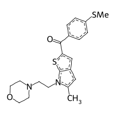 CSc1ccc(C(=O)c2cc3cc(C)n(CCN4CCOCC4)c3s2)cc1